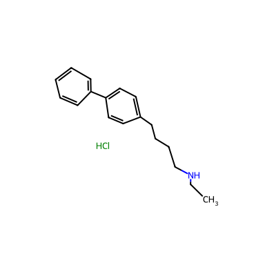 CCNCCCCc1ccc(-c2ccccc2)cc1.Cl